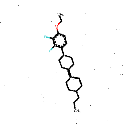 CCCC1CCC(=C2CCC(c3ccc(OCC)c(F)c3F)CC2)CC1